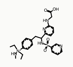 CC[N+](CC)(NC)c1ccc(CC(NS(=O)(=O)c2cccnc2)c2cccc(NCC(=O)O)n2)cc1